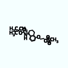 CC(C)(C)OC(=O)N[C@@H]1CCCc2c(OCCOS(C)(=O)=O)cccc21